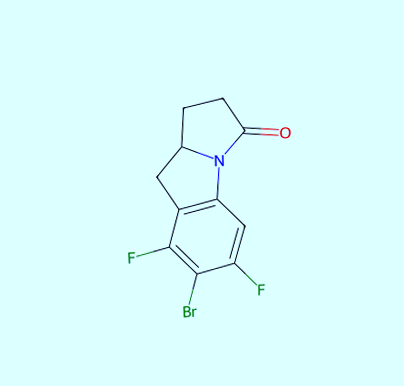 O=C1CCC2Cc3c(cc(F)c(Br)c3F)N12